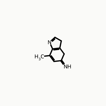 CC1=CC(=N)CC2=C1N=CC2